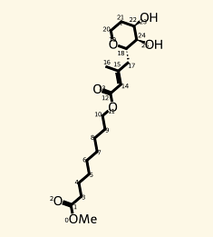 COC(=O)CCCCCCCCOC(=O)/C=C(\C)C[C@@H]1OC[CH][C@@H](O)[C@H]1O